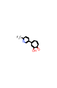 O=c1cccc(-c2ccc(C(F)(F)F)nc2)cc1O